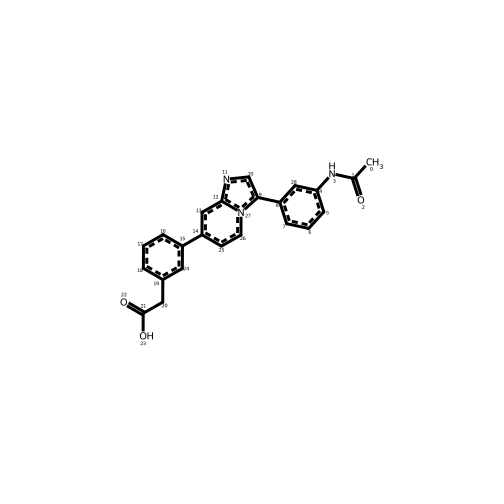 CC(=O)Nc1cccc(-c2cnc3cc(-c4cccc(CC(=O)O)c4)ccn23)c1